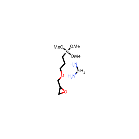 CO[Si](CCCOCC1CO1)(OC)OC.N[SiH2]N